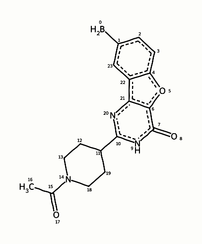 Bc1ccc2oc3c(=O)[nH]c(C4CCN(C(C)=O)CC4)nc3c2c1